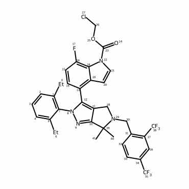 CCc1cccc(CC)c1-n1nc2c(c1-c1ccc(F)c3c1ccn3C(=O)OCCl)CN(Cc1ccc(C(F)(F)F)cc1C(F)(F)F)C2(C)C